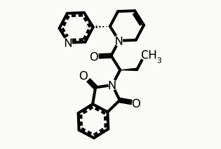 CC[C@H](C(=O)N1CC=CC[C@H]1c1cccnc1)N1C(=O)c2ccccc2C1=O